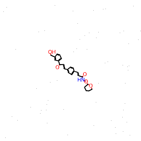 O=C(C=Cc1ccc(C=CC(=O)c2cccc(CO)c2)cc1)NOC1CCCCO1